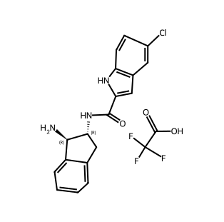 N[C@@H]1c2ccccc2C[C@H]1NC(=O)c1cc2cc(Cl)ccc2[nH]1.O=C(O)C(F)(F)F